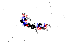 COC(=O)N[C@@H](C)C(=O)N1CCC[C@H]1C(=O)N[C@H](C)c1ccc(-c2ccc(-c3cnc([C@@H]4CCCN4C(=O)[C@H](C)NC(=O)OC)[nH]3)cc2)cc1